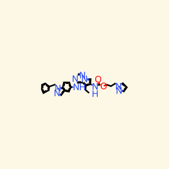 CCc1c(NC(=O)OCCCn2cccn2)cn2ncnc(Nc3ccc4c(cnn4Cc4ccccc4)c3)c12